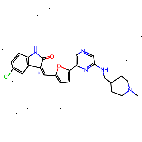 CN1CCC(CNc2cncc(-c3ccc(/C=C4\C(=O)Nc5ccc(Cl)cc54)o3)n2)CC1